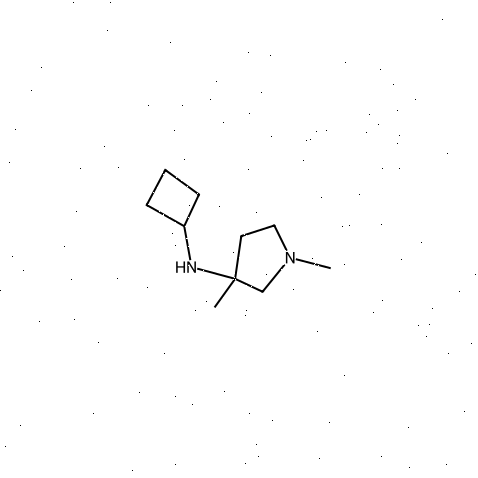 CN1CCC(C)(NC2CCC2)C1